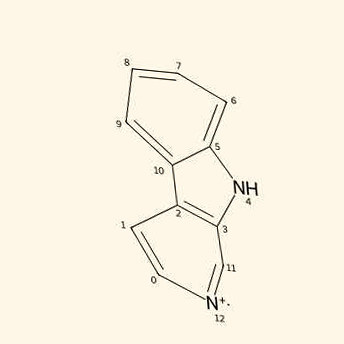 C1=Cc2c([nH]c3ccccc23)C=[N+]1